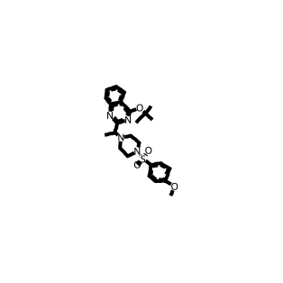 COc1ccc(S(=O)(=O)N2CCN(C(C)c3nc(OC(C)(C)C)c4ccccc4n3)CC2)cc1